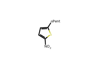 CCCCCc1ccc([N+](=O)[O-])s1